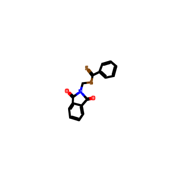 O=C1c2ccccc2C(=O)N1CSC(=S)c1ccccc1